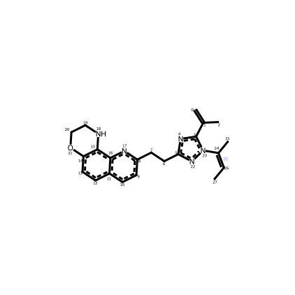 C=C(C)c1nc(CCc2ccc3ccc4c(c3n2)NCCO4)nn1/C(C)=C\C